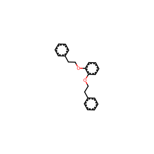 c1ccc(CCOc2ccccc2OCCc2ccccc2)cc1